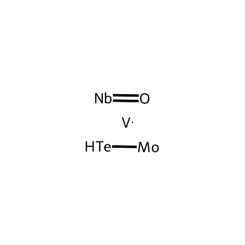 [Mo][TeH].[O]=[Nb].[V]